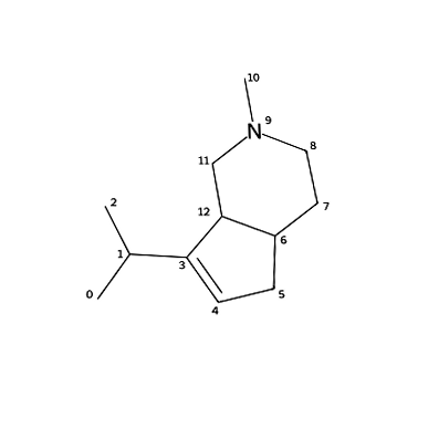 CC(C)C1=CCC2CCN(C)CC12